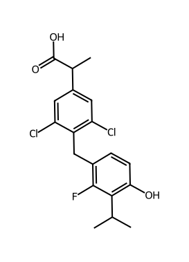 CC(C)c1c(O)ccc(Cc2c(Cl)cc(C(C)C(=O)O)cc2Cl)c1F